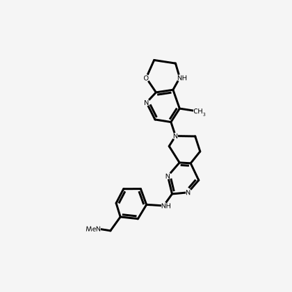 CNCc1cccc(Nc2ncc3c(n2)CN(c2cnc4c(c2C)NCCO4)CC3)c1